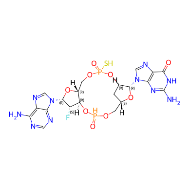 Nc1nc2c(ncn2[C@@H]2O[C@@H]3CO[PH](=O)O[C@H]4[C@H](F)[C@H](n5cnc6c(N)ncnc65)O[C@@H]4COP(=O)(S)O[C@@H]2C3)c(=O)[nH]1